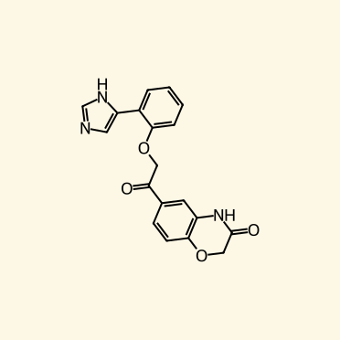 O=C1COc2ccc(C(=O)COc3ccccc3-c3cnc[nH]3)cc2N1